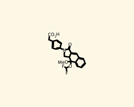 COC1(OC(F)F)c2ccccc2C=C2C(=O)N(c3ccc(CC(=O)O)cc3)CC21